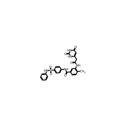 Cc1ccc(C(=O)Nc2ccc(S(=O)(=O)Nc3ccccc3)cc2)cc1NC(=O)Cc1cc(=O)[nH]c(=O)[nH]1